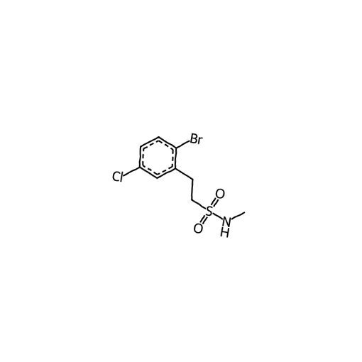 CNS(=O)(=O)CCc1cc(Cl)ccc1Br